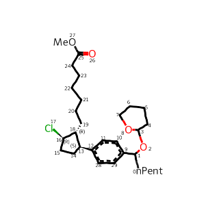 CCCCCC(OC1CCCCO1)c1ccc([C@H]2CC[C@@H](Cl)[C@@H]2CCCCCCC(=O)OC)cc1